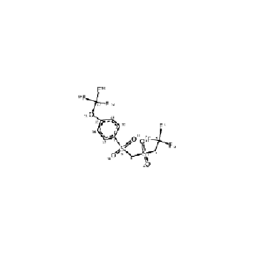 O=S(=O)(CC(F)(F)F)CS(=O)(=O)c1ccc(OC(F)(F)F)cc1